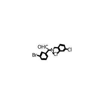 CN(Cc1ccc(Cl)cc1Cl)[C@H](C=O)c1cccc(Br)c1